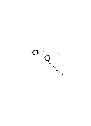 COc1cc(C(=O)OCCCCO[N+](=O)[O-])ccc1OC(=O)Oc1ccc([N+](=O)[O-])cc1